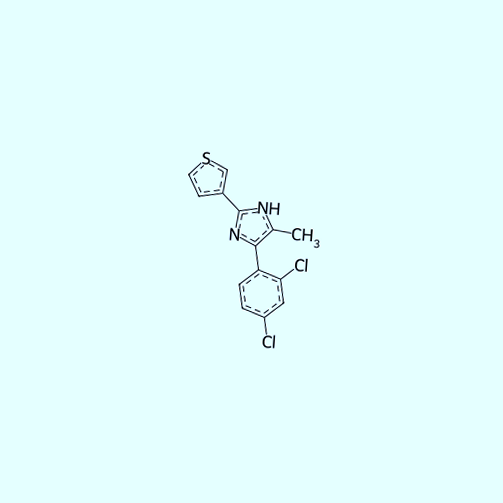 Cc1[nH]c(-c2ccsc2)nc1-c1ccc(Cl)cc1Cl